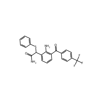 NC(=O)C(Sc1ccccc1)c1cccc(C(=O)c2ccc(C(F)(F)F)cc2)c1N